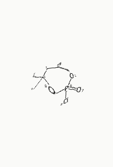 CC1(C)CCOP(=O)(Cl)O1